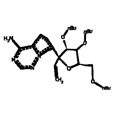 C=C[C@@]1(c2ccc3c(N)ncnn23)O[C@H](COCCCC)C(OCCCC)[C@H]1OCCCC